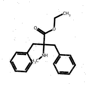 CCOC(=O)C(Cc1ccccc1)(Cc1ccccc1)NC